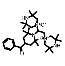 CC1(C)C[N+]([O-])(CC(N2C(C)(C)CC(C(=O)c3ccccc3)CC2(C)C)[N+]2([O-])CC(C)(C)NC(C)(C)C2)CC(C)(C)N1